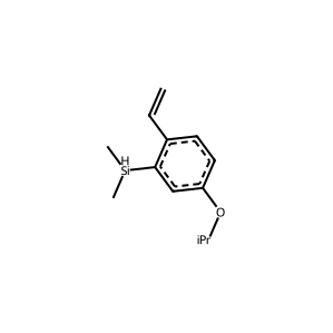 C=Cc1ccc(OC(C)C)cc1[SiH](C)C